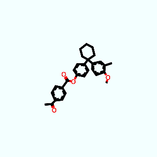 COc1ccc(C2(c3ccc(OC(=O)c4ccc(C(C)=O)cc4)cc3)CCCCC2)cc1C